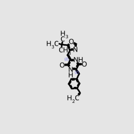 C=Cc1cccc(/C=c2\[nH]c(=O)/c(=C/c3ncoc3C(C)(C)C)[nH]c2=O)c1